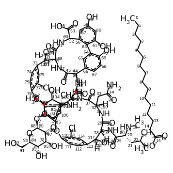 CCCCCCCCCCCCCCCC(=O)O.CN[C@H](CC(C)C)C(=O)N[C@H]1C(=O)N[C@@H](CC(N)=O)C(=O)N[C@H]2C(=O)N[C@H]3C(=O)N[C@H](C(=O)N[C@@H](C(=O)O)c4cc(O)cc(O)c4-c4cc3ccc4O)[C@H](O)c3ccc(c(Cl)c3)Oc3cc2cc(c3O[C@@H]2O[C@H](CO)[C@@H](O)[C@H](O)[C@H]2O[C@H]2C[C@](C)(N)C(O)[C@H](C)O2)Oc2ccc(cc2Cl)[C@H]1O